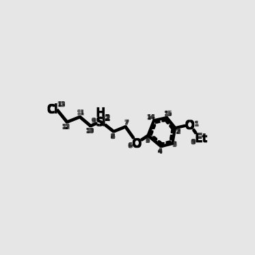 CCOc1ccc(OCC[SiH2]CCCCl)cc1